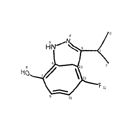 CC(C)c1n[nH]c2c(O)ccc(F)c12